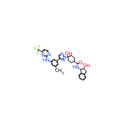 Cc1cc(Nc2nccc(C(F)(F)F)n2)cc(-c2cnn(C3(O)CCC(C(=O)NC4c5ccccc5CC4O)CC3)n2)c1